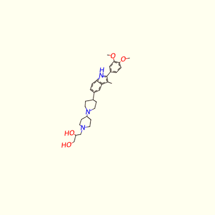 COc1ccc(-c2[nH]c3ccc(C4CCN(C5CCN(CC(O)CO)CC5)CC4)cc3c2C)cc1OC